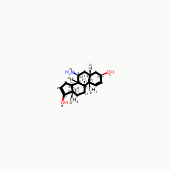 C[C@]12C=C[C@H](O)C[C@H]1C[C@H](N)[C@@H]1[C@@H]2CC[C@]2(C)C(O)=CC[C@@H]12